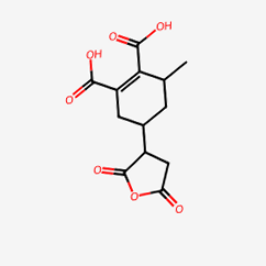 CC1CC(C2CC(=O)OC2=O)CC(C(=O)O)=C1C(=O)O